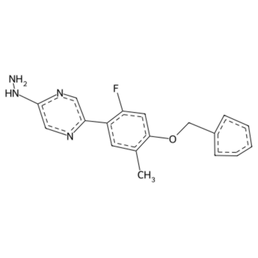 Cc1cc(-c2cnc(NN)cn2)c(F)cc1OCc1ccccc1